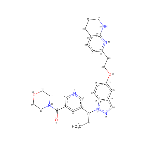 O=C(O)CC(c1cncc(C(=O)N2CCOCC2)c1)n1ncc2cc(OCCc3ccc4c(n3)NCCC4)ccc21